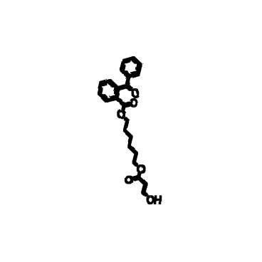 O=C(CCO)OCCCCCCOC(=O)c1ccccc1C(=O)c1ccccc1